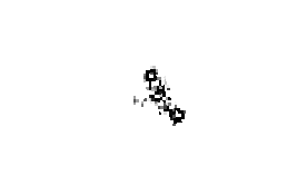 CC(CC(C)OC(=O)c1ccccc1)NCc1ccccc1